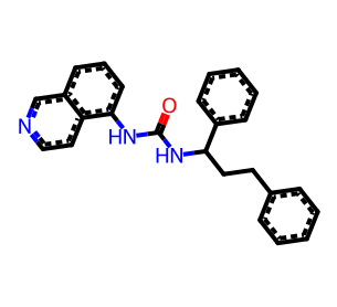 O=C(Nc1cccc2cnccc12)NC(CCc1ccccc1)c1ccccc1